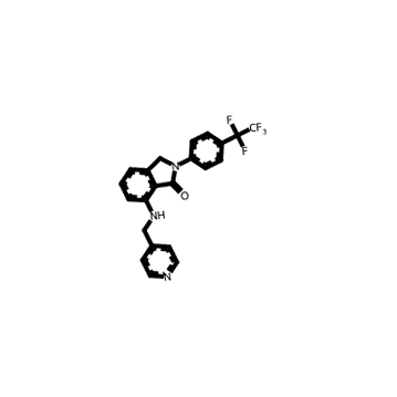 O=C1c2c(cccc2NCc2ccncc2)CN1c1ccc(C(F)(F)C(F)(F)F)cc1